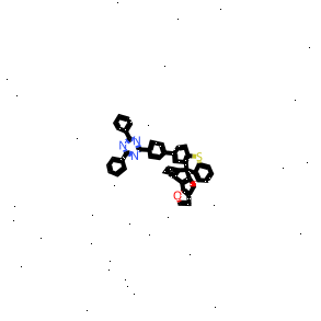 c1ccc(-c2nc(-c3ccccc3)nc(-c3ccc(-c4ccc5c(c4)C4(c6ccccc6S5)c5ccccc5-c5c4ccc4ccoc54)cc3)n2)cc1